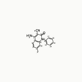 Cc1ccc2c(N)c(C#N)c(=O)n(-c3ccccc3)c2c1